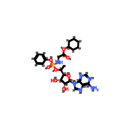 CC(OP(=O)(NCC(=O)OC1CCCCC1)Oc1ccccc1)[C@H]1O[C@@H](n2cnc3c(N)ncnc32)[C@H](O)[C@@H]1O